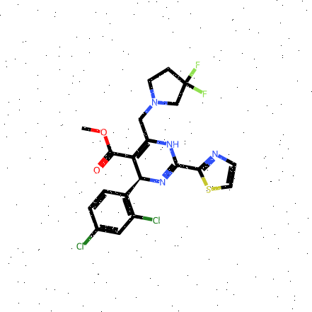 COC(=O)C1=C(CN2CCC(F)(F)C2)NC(c2nccs2)=N[C@H]1c1ccc(Cl)cc1Cl